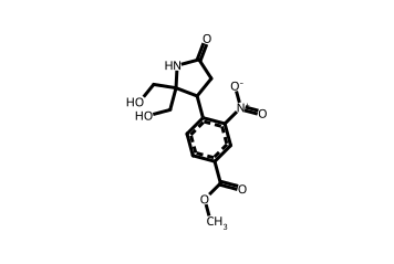 COC(=O)c1ccc(C2CC(=O)NC2(CO)CO)c([N+](=O)[O-])c1